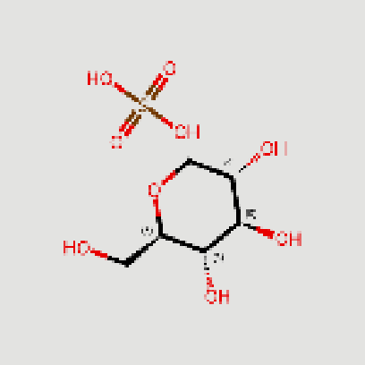 O=S(=O)(O)O.OC[C@H]1O[CH][C@H](O)[C@@H](O)[C@@H]1O